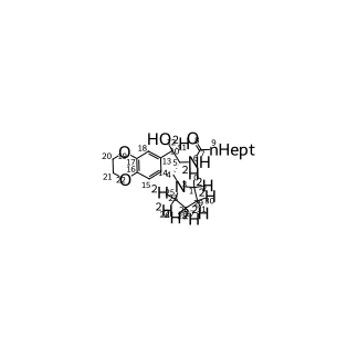 [2H]C1([2H])N(C[C@@H](NC(=O)CCCCCCC)[C@]([2H])(O)c2ccc3c(c2)OCCO3)C([2H])([2H])C([2H])([2H])C1([2H])[2H]